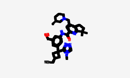 C[C@H]1CCCN(Cc2cc(C(=O)Nc3cc(CO)cc(C4(c5nncn5C)CC(CC#N)C4)c3)nc3c2CCC3(C)C)C1